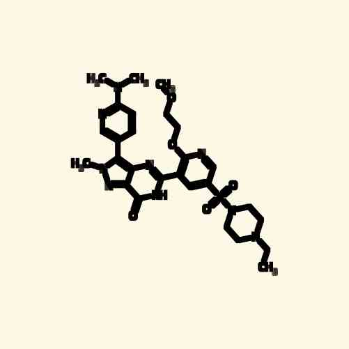 CCN1CCN(S(=O)(=O)c2cnc(OCCOC)c(-c3nc4c(-c5ccc(N(C)C)nc5)n(C)nc4c(=O)[nH]3)c2)CC1